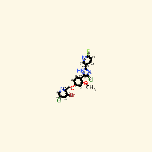 COc1cc(OCc2ncc(Cl)cc2Br)ccc1-c1[nH]c(-c2ccc(F)nc2)nc1Cl